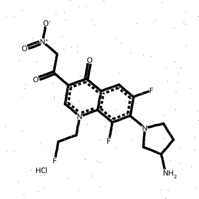 Cl.NC1CCN(c2c(F)cc3c(=O)c(C(=O)C[N+](=O)[O-])cn(CCF)c3c2F)C1